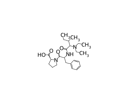 CCC(C)C(C(=O)NC(Cc1ccccc1)C(=O)N1CCC[C@H]1C(=O)O)N(CC)CC